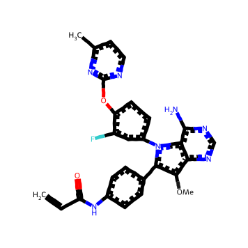 C=CC(=O)Nc1ccc(-c2c(OC)c3ncnc(N)c3n2-c2ccc(Oc3nccc(C)n3)c(F)c2)cc1